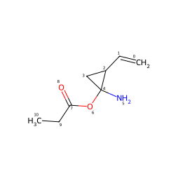 C=CC1CC1(N)OC(=O)CC